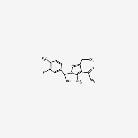 CC(C)(C)C(c1ccc(C(F)(F)F)c(F)c1)n1nc(CC(F)(F)F)c(C(N)=O)c1N